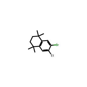 CCc1cc2c(cc1Br)C(C)(C)CCC2(C)C